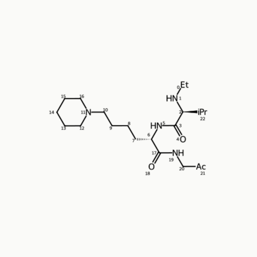 CCN[C@H](C(=O)N[C@@H](CCCCN1CCCCC1)C(=O)NCC(C)=O)C(C)C